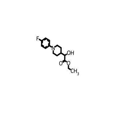 CCOC(=O)C(O)C1CCN(c2ccc(F)cc2)CC1